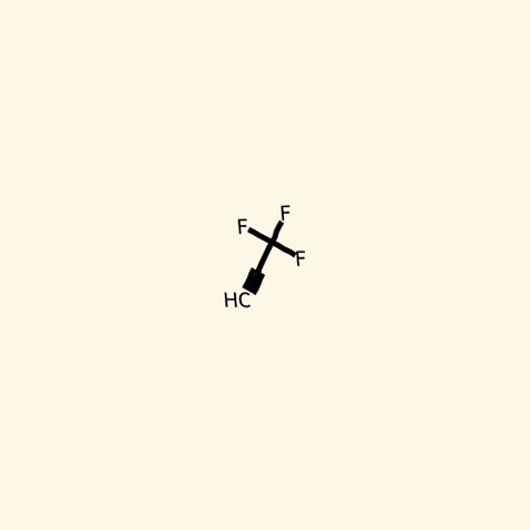 C#CC(F)(F)F